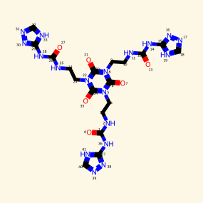 O=C(NCCn1c(=O)n(CCNC(=O)Nc2nnc[nH]2)c(=O)n(CCNC(=O)Nc2nnc[nH]2)c1=O)Nc1nnc[nH]1